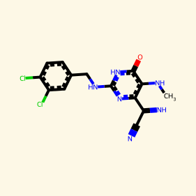 CNc1c(C(=N)C#N)nc(NCc2ccc(Cl)c(Cl)c2)[nH]c1=O